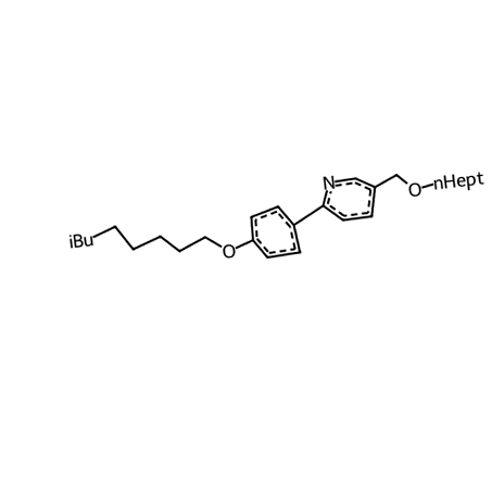 CCCCCCCOCc1ccc(-c2ccc(OCCCCCC(C)CC)cc2)nc1